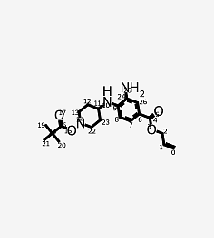 C=CCOC(=O)c1ccc(NC2CCN(OC(=O)C(C)(C)C)CC2)c(N)c1